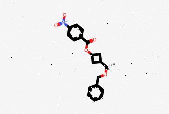 C[C@H](OCc1ccccc1)C1CC(OC(=O)c2ccc([N+](=O)[O-])cc2)C1